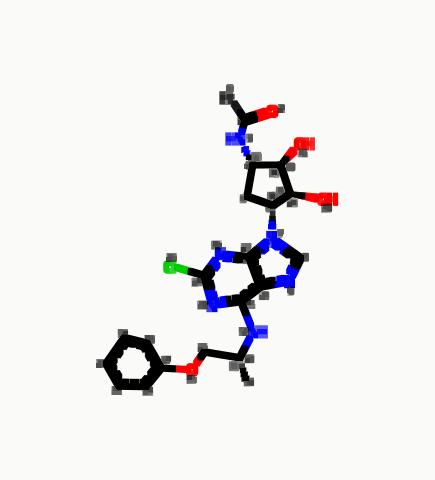 CCC(=O)N[C@H]1C[C@@H](n2cnc3c(N[C@H](C)COc4ccccc4)nc(Cl)nc32)[C@H](O)[C@@H]1O